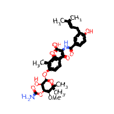 CO[C@@H]1[C@@H](OC(N)=O)[C@@H](O)[C@H](Oc2ccc3c(=O)c(NC(=O)c4ccc(O)c(CC=C(C)C)c4)c(O)oc3c2C)OC1(C)C